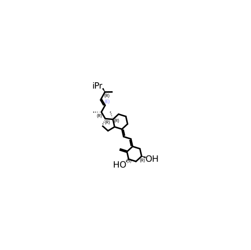 C=C1C(=CC=C2CCC[C@@]3(C)C2CC[C@@H]3[C@H](C)/C=C/[C@H](C)C(C)C)C[C@@H](O)C[C@@H]1O